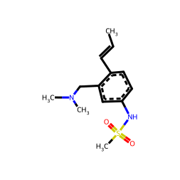 C/C=C/c1ccc(NS(C)(=O)=O)cc1CN(C)C